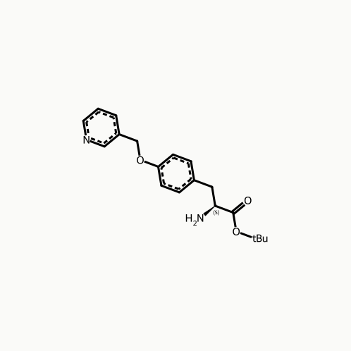 CC(C)(C)OC(=O)[C@@H](N)Cc1ccc(OCc2cccnc2)cc1